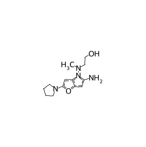 CN(CCO)n1c(N)cc2oc(N3CCCC3)cc21